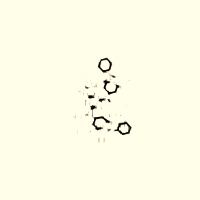 CCCCN(c1nc(NO)nc(N(CCCC)C2CC(C)(C)N(OC3CCCCC3)C(C)(C)C2)n1)C1CC(C)(C)N(OC2CCCCC2)C(C)(C)C1